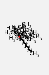 CCCCCCCCCC(=O)[Si](OC(C)OC(C)OC)(OC(C)OC(C)OC)OC(C)(CC)OC(C)OC